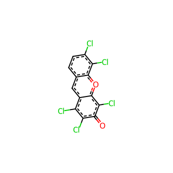 O=c1c(Cl)c2oc3c(Cl)c(Cl)ccc3cc-2c(Cl)c1Cl